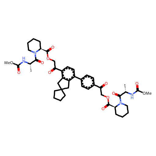 COC(=O)N[C@@H](C)C(=O)N1CCCC[C@H]1C(=O)OCC(=O)c1ccc(-c2ccc(C(=O)COC(=O)[C@@H]3CCCCN3C(=O)[C@H](C)NC(=O)OC)c3c2CC2(CCCC2)C3)cc1